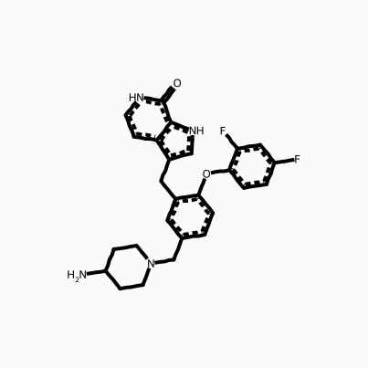 NC1CCN(Cc2ccc(Oc3ccc(F)cc3F)c(Cc3c[nH]c4c(=O)[nH]ccc34)c2)CC1